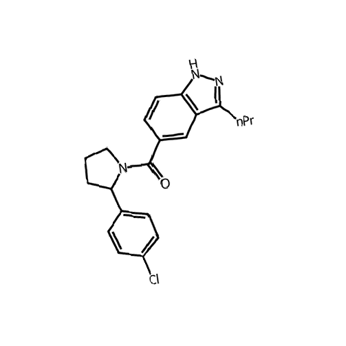 CCCc1n[nH]c2ccc(C(=O)N3CCCC3c3ccc(Cl)cc3)cc12